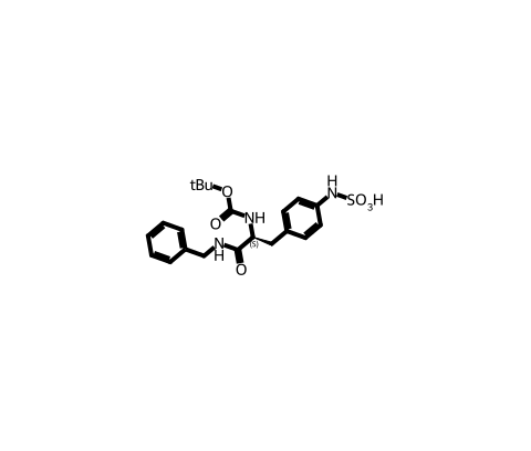 CC(C)(C)OC(=O)N[C@@H](Cc1ccc(NS(=O)(=O)O)cc1)C(=O)NCc1ccccc1